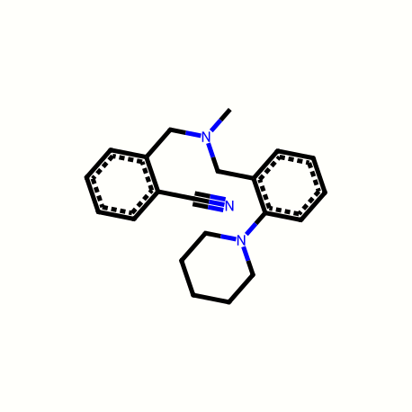 CN(Cc1ccccc1C#N)Cc1ccccc1N1CCCCC1